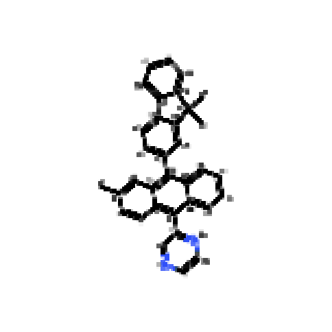 Cc1ccc2c(-c3cnccn3)c3ccccc3c(-c3ccc4c(c3)C(C)(C)c3ccccc3-4)c2c1